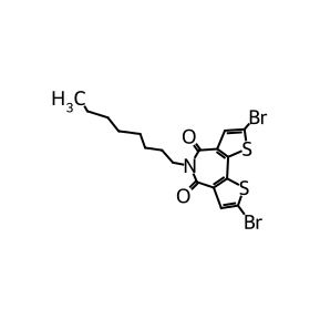 CCCCCCCCn1c(=O)c2cc(Br)sc2c2sc(Br)cc2c1=O